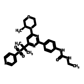 CCNC(=O)Nc1ccc(-c2nc(N3CCOC[C@@H]3C)cc(C(C)(C)S(=O)(=O)c3ccncc3)n2)cc1